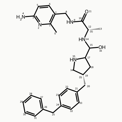 Cc1nc(N)ccc1CNC(=O)[C@H](C)NC(O)C1C[C@H](Cc2ccc(Cc3ccccc3)cc2)CN1